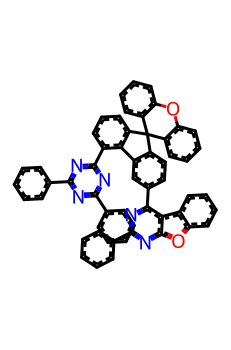 c1ccc(-c2nc(-c3ccccc3)nc(-c3cccc4c3-c3cc(-c5nc(-c6ccccc6)nc6oc7ccccc7c56)ccc3C43c4ccccc4Oc4ccccc43)n2)cc1